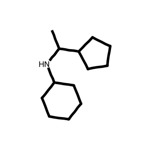 CC(NC1CCCCC1)C1CCCC1